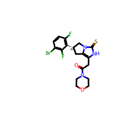 O=C(Cc1[nH]c(=S)n2c1C[C@H](c1c(F)ccc(Br)c1F)C2)N1CCOCC1